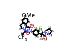 COc1ccc2c(c1)CCN(C(=O)CC(F)(F)F)C2C(=O)Nc1ccc(C(C)(C)C(=O)N2CCCC2)c(F)c1